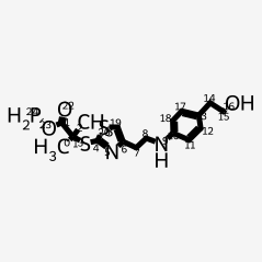 CC(C)(Sc1nc(CCNc2ccc(CCO)cc2)cs1)C(=O)OP